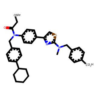 COCC(=O)N(Cc1ccc(C2CCCCC2)cc1)c1ccc(-c2csc(N(C)Cc3ccc(C(=O)O)cc3)n2)cc1